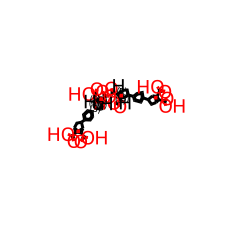 O=C(O)C1C2CC(c3ccc(C4C[C@H]5C[C@@H]4[C@H](C(=O)O)C5C(=O)OC(=O)[C@@H]4[C@@H]5C[C@H]([C@@H]4C(=O)O)[C@@H](c4ccc(C6CC7CC6C(C(=O)O)C7C(=O)O)cc4)C5)cc3)C(C2)C1C(=O)O